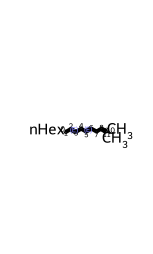 [CH2]CCCCCC/C=C/C/C=C/CC=C(C)C